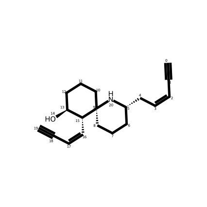 C#C/C=C\C[C@@H]1CCC[C@]2(CCC[C@H](O)[C@H]2/C=C\C#C)N1